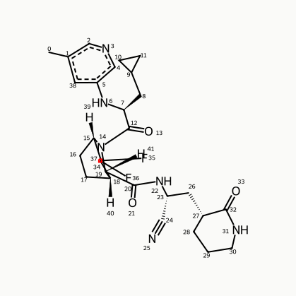 Cc1cncc(N[C@@H](CC2CC2)C(=O)N2[C@H]3CC[C@@H]([C@H]2C(=O)N[C@@H](C#N)C[C@H]2CCCNC2=O)C(F)(F)C3)c1